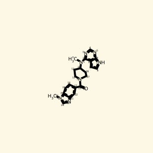 CN(c1ncnc2[nH]ccc12)C1CCN(C(=O)c2ccc3c(c2)ncn3C)CC1